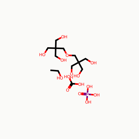 CCO.O=C(O)O.O=P(O)(O)O.OCC(CO)(CO)COCC(CO)(CO)CO